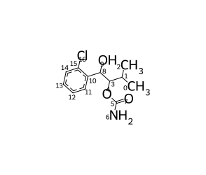 CC(C)C(OC(N)=O)C(O)c1ccccc1Cl